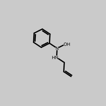 C=CCNN(O)c1ccccc1